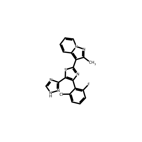 Cc1nn2ccccc2c1-c1nc(-c2c(F)cccc2Cl)c(-c2nc[nH]n2)s1